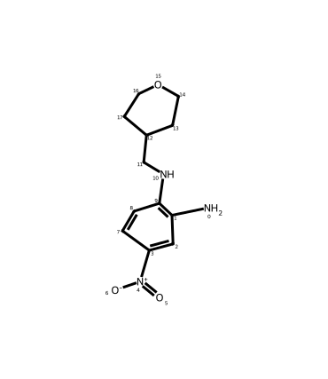 Nc1cc([N+](=O)[O-])ccc1NCC1CCOCC1